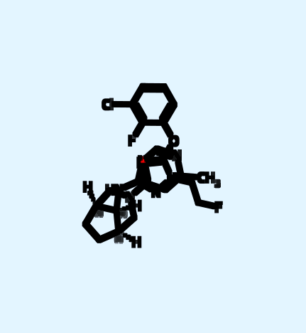 Cc1cc(N2C[C@H]3CC[C@@H](C2)[C@H]3Nc2nc(Oc3cccc(Cl)c3F)n(CCF)n2)ncn1